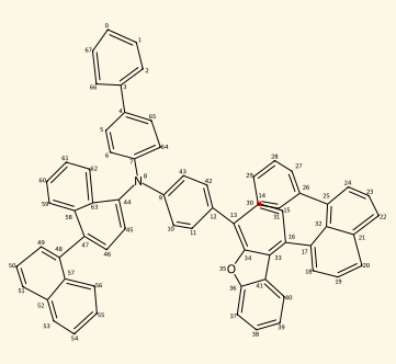 c1ccc(-c2ccc(N(c3ccc(-c4ccc(-c5cccc6cccc(-c7ccccc7)c56)c5c4oc4ccccc45)cc3)c3ccc(-c4cccc5ccccc45)c4ccccc34)cc2)cc1